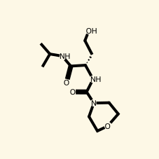 CC(C)NC(=O)[C@H](CCO)NC(=O)N1CCOCC1